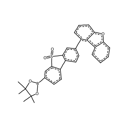 CC1(C)OB(c2ccc3c(c2)S(=O)(=O)c2cc(-c4cccc5oc6ccccc6c45)ccc2-3)OC1(C)C